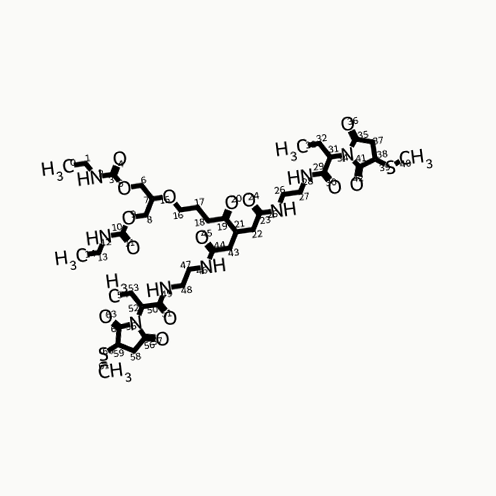 CCNC(=O)OCC(COC(=O)NCC)OCCCC(=O)C(CC(=O)NCCNC(=O)C(CC)N1C(=O)CC(SC)C1=O)CC(=O)NCCNC(=O)C(CC)N1C(=O)CC(SC)C1=O